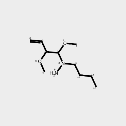 C=CC(OC)C(OC)N(N)CCCC